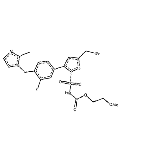 COCCOC(=O)NS(=O)(=O)c1sc(CC(C)C)cc1-c1ccc(Cn2ccnc2C)c(F)c1